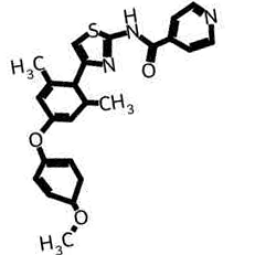 COC1C=CC(OC2=CC(C)C(c3csc(NC(=O)c4ccncc4)n3)C(C)=C2)=CC1